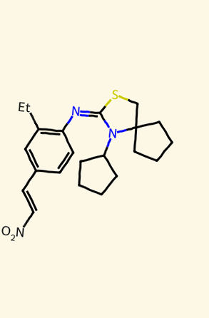 CCc1cc(/C=C/[N+](=O)[O-])ccc1/N=C1/SCC2(CCCC2)N1C1CCCC1